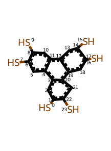 Sc1cc2c3cc(S)c(S)cc3c3cc(S)c(S)cc3c2cc1S